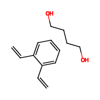 C=Cc1ccccc1C=C.OCCCCO